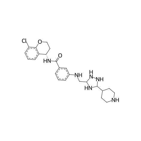 O=C(N[C@H]1CCOc2c(Cl)cccc21)c1cccc(NCC2NNC(C3CCNCC3)N2)c1